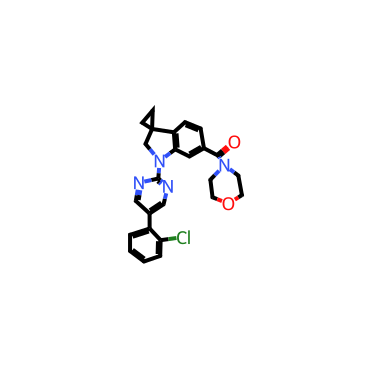 O=C(c1ccc2c(c1)N(c1ncc(-c3ccccc3Cl)cn1)CC21CC1)N1CCOCC1